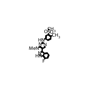 CNc1nc(Nc2ccc(C)c(S(C)(=O)=O)c2)ncc1-c1n[nH]c2c(F)cccc12